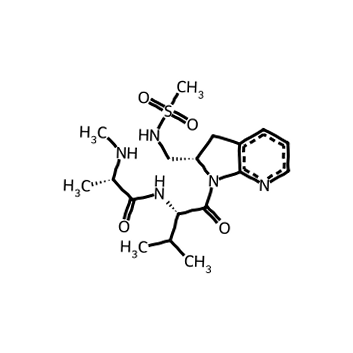 CN[C@@H](C)C(=O)N[C@H](C(=O)N1c2ncccc2C[C@H]1CNS(C)(=O)=O)C(C)C